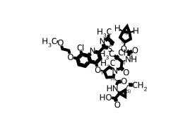 C=C[C@@H]1C[C@]1(NC(=O)[C@@H]1C[C@@H](Oc2cc(-c3nc(C)cs3)nc3c(Cl)c(OCCOC)ccc23)CN1C(=O)[C@@H](NC(=O)O[C@H]1C[C@@H]2C[C@@H]2C1)C(C)(C)C)C(=O)O